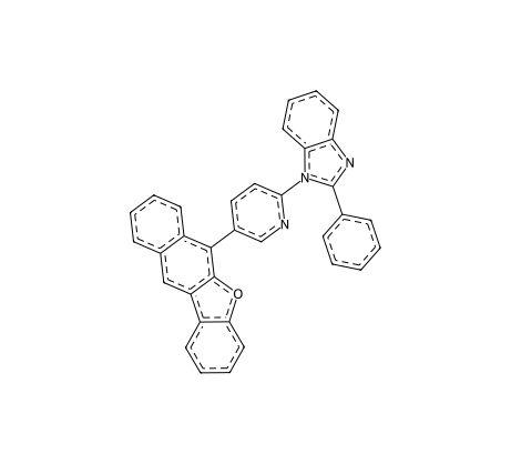 c1ccc(-c2nc3ccccc3n2-c2ccc(-c3c4ccccc4cc4c3oc3ccccc34)cn2)cc1